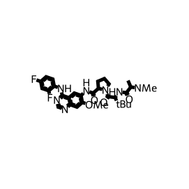 CNC(C)C(=O)NC(C(=O)N1CCCC1C(=O)Nc1cc2c(Nc3ccc(F)cc3F)ncnc2cc1OC)C(C)(C)C